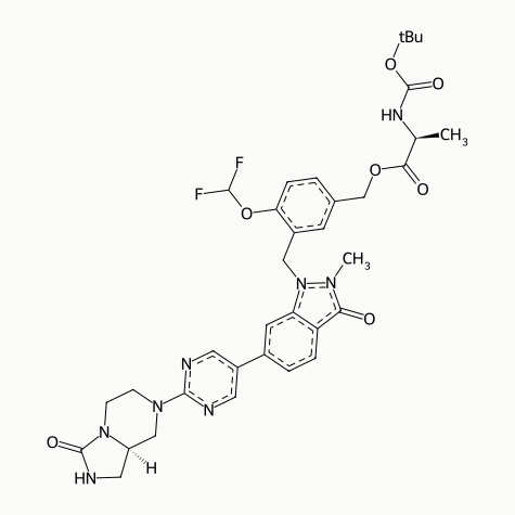 C[C@H](NC(=O)OC(C)(C)C)C(=O)OCc1ccc(OC(F)F)c(Cn2c3cc(-c4cnc(N5CCN6C(=O)NC[C@@H]6C5)nc4)ccc3c(=O)n2C)c1